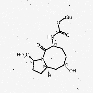 CC(C)(C)OC(=O)N[C@H]1CC[C@H](O)C[C@H]2CC[C@@H](C(=O)O)N2C1=O